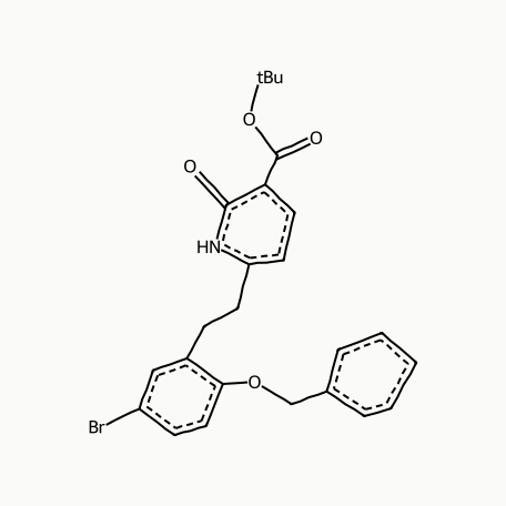 CC(C)(C)OC(=O)c1ccc(CCc2cc(Br)ccc2OCc2ccccc2)[nH]c1=O